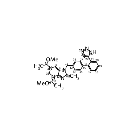 COC(C)N1C=C2C(=NC(C)N2Cc2ccc(-c3ccccc3-c3nnn[nH]3)cc2)N(C(C)OC)C1